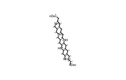 CCCCCCCCCCCCCCCCCCNCCCCCCCCCCCCCCCCCC.NCCCNCCCCNCCCN